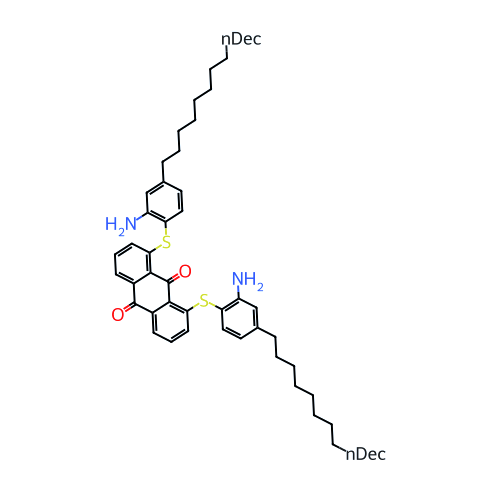 CCCCCCCCCCCCCCCCCCc1ccc(Sc2cccc3c2C(=O)c2c(Sc4ccc(CCCCCCCCCCCCCCCCCC)cc4N)cccc2C3=O)c(N)c1